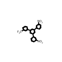 O=[N+]([O-])c1cccc(-c2cc(-c3cccc([N+](=O)[O-])c3)cc(-c3cccc(C(F)(F)F)c3)c2)c1